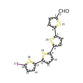 O=Cc1ccc(-c2ccc(-c3ccc(-c4ccc(I)s4)s3)s2)s1